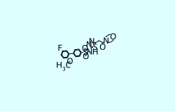 COc1ccc(F)cc1-c1ccc(S(=O)(=O)Nc2nnc(CC(=O)N3CCOCC3)s2)cc1